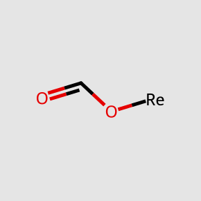 O=C[O][Re]